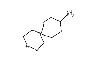 NC1CCC2(CC[N]CC2)CC1